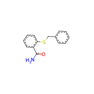 NC(=O)c1ccccc1SCc1ccccc1